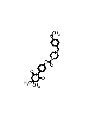 COc1ccc(CN2CCN(C(=O)Oc3ccc(N4C(=O)CC(C)(C)CC4=O)cc3)CC2)cc1